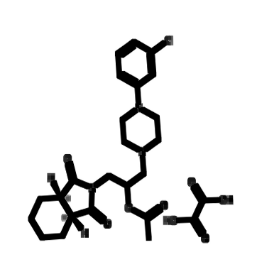 CC(=O)OC(CN1CCN(c2cccc(Cl)c2)CC1)CN1C(=O)[C@H]2CCCC[C@H]2C1=O.O=C(O)C(=O)O